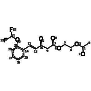 CC(=O)OCCOC(=O)CC(=O)C=Cc1ccccc1OC(F)F